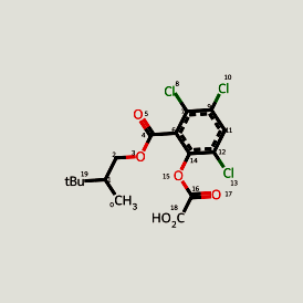 CC(COC(=O)c1c(Cl)c(Cl)cc(Cl)c1OC(=O)C(=O)O)C(C)(C)C